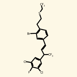 Fc1c(Cl)cc(C(/C=C/c2ccc(CCSCC(F)(F)F)c(Br)c2)C(F)(F)F)cc1Cl